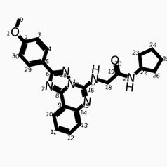 COc1ccc(-c2nc3c4ccccc4nc(NCC(=O)NC4CCCC4)n3n2)cc1